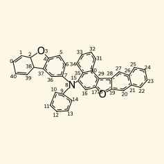 C1=CC2Oc3ccc(N(c4ccccc4)c4cc5oc6cc7ccccc7cc6c5c5ccccc45)cc3C2C=C1